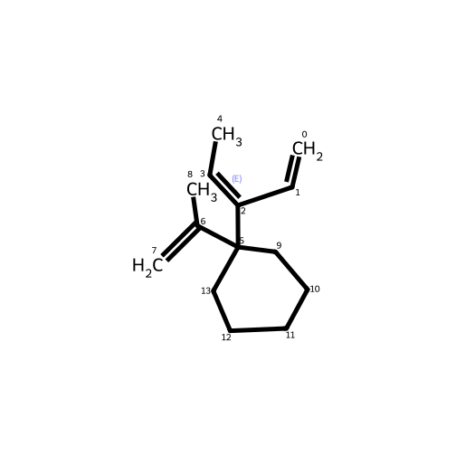 C=C/C(=C\C)C1(C(=C)C)CCCCC1